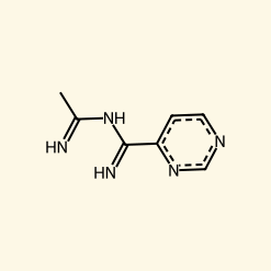 CC(=N)NC(=N)c1ccncn1